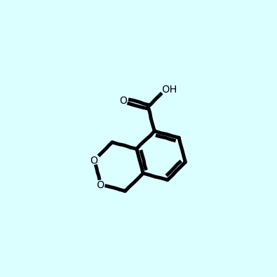 O=C(O)c1cccc2c1COOC2